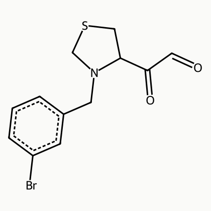 O=CC(=O)C1CSCN1Cc1cccc(Br)c1